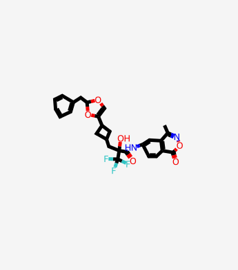 Cc1noc(=O)c2ccc(NC(=O)C(O)(CC3CC(C4=COC(Cc5ccccc5)O4)C3)C(F)(F)F)cc12